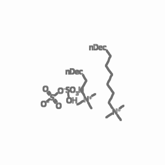 CCCCCCCCCCCCCCCC[N+](C)(C)C.CCCCCCCCCCCC[N+](C)(C)C.O=S(=O)(O)O.O=S(=O)([O-])[O-]